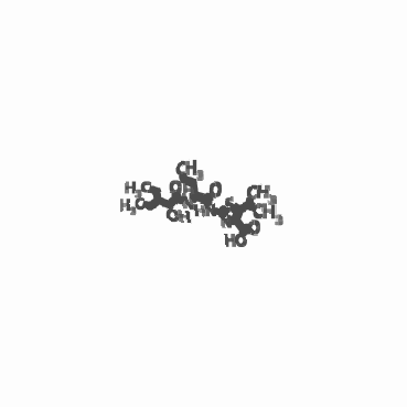 CCC[C@H](NC(=O)[C@H](O)C(CC)CC)C(=O)Nc1nc(C(=O)O)c(C(C)C)s1